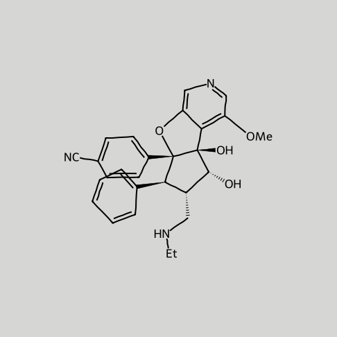 CCNC[C@H]1[C@@H](O)[C@@]2(O)c3c(OC)cncc3O[C@@]2(c2ccc(C#N)cc2)[C@@H]1c1ccccc1